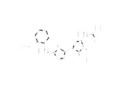 CCOc1ccccc1Nc1nc(-c2sc(NC(=O)CC)nc2C)cs1